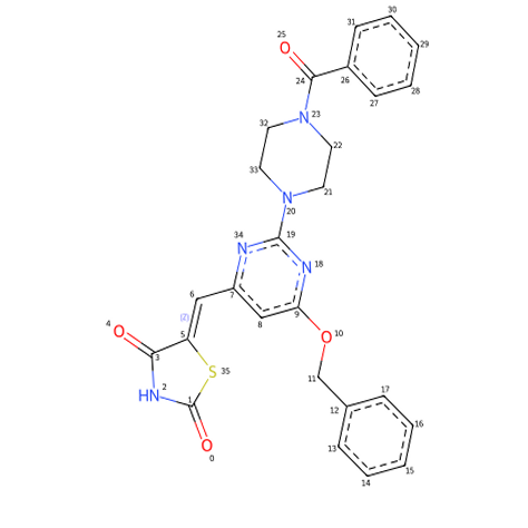 O=C1NC(=O)/C(=C/c2cc(OCc3ccccc3)nc(N3CCN(C(=O)c4ccccc4)CC3)n2)S1